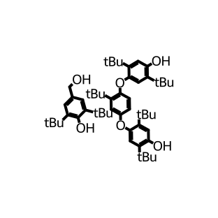 CC(C)(C)c1cc(CO)cc(C(C)(C)C)c1O.CC(C)(C)c1cc(Oc2ccc(Oc3cc(C(C)(C)C)c(O)cc3C(C)(C)C)c(C(C)(C)C)c2)c(C(C)(C)C)cc1O